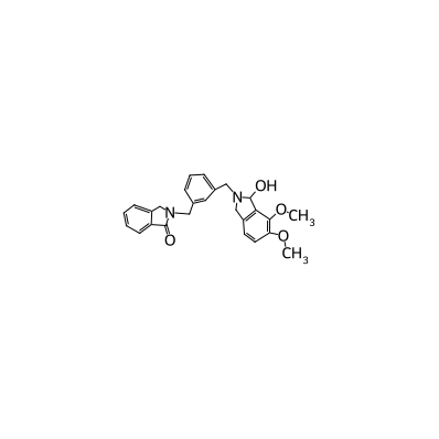 COc1ccc2c(c1OC)C(O)N(Cc1cccc(CN3Cc4ccccc4C3=O)c1)C2